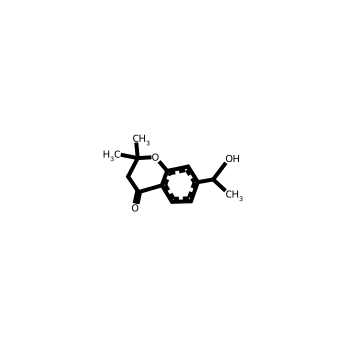 CC(O)c1ccc2c(c1)OC(C)(C)CC2=O